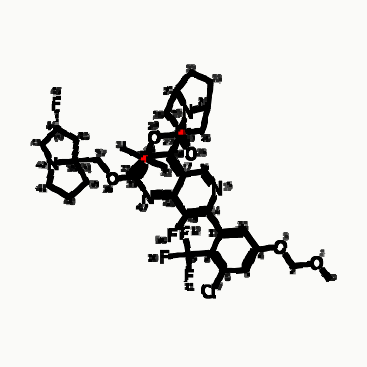 COCOc1cc(Cl)c(C(F)(F)F)c(-c2ncc3c(N4CC5CCC(C4)N5C(=O)OC(C)(C)C)nc(OC[C@@]45CCCN4C[C@H](F)C5)nc3c2F)c1